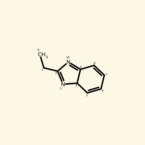 CCC1=NC2C=CC=CC2=N1